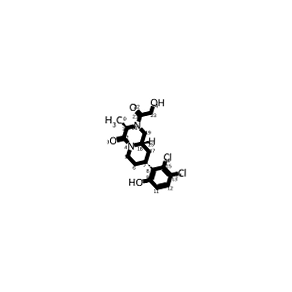 C[C@@H]1C(=O)N2CC[C@@H](c3c(O)ccc(Cl)c3Cl)C[C@H]2CN1C(=O)CO